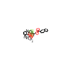 O=C(OCCC(F)(F)C(F)(F)S(=O)(=O)OCc1c([N+](=O)[O-])cccc1[N+](=O)[O-])c1ccc2ccccc2c1